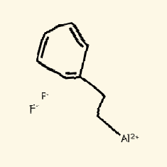 [Al+2][CH2]Cc1ccccc1.[F-].[F-]